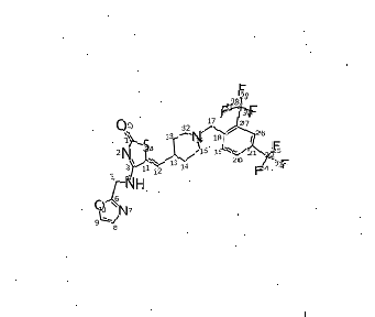 O=C1N=C(NCc2ncco2)C(=CC2CCN(Cc3ccc(C(F)(F)F)cc3C(F)(F)F)CC2)S1